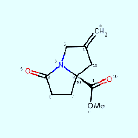 C=C1CN2C(=O)CC[C@@]2(C(=O)OC)C1